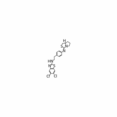 Clc1cc2nc(NCCc3ccc(/N=C4\SC[C@@H]5CCCN45)cc3)sc2cc1Cl